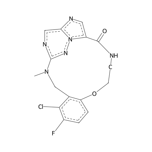 CN1Cc2c(ccc(F)c2Cl)OCCNC(=O)c2cnc3cnc1nn23